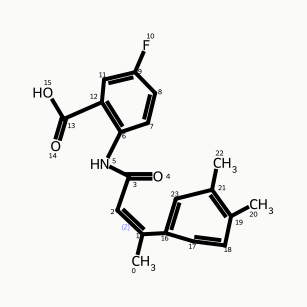 C/C(=C/C(=O)Nc1ccc(F)cc1C(=O)O)c1ccc(C)c(C)c1